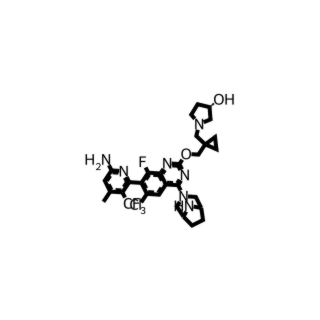 Cc1cc(N)nc(-c2c(Cl)cc3c(N4CC5CCC(C4)N5)nc(OCC4(CN5CC[C@H](O)C5)CC4)nc3c2F)c1C(F)(F)F